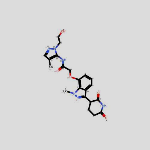 Cn1nc(C2CCC(=O)NC2=O)c2cccc(OCC(=O)Nc3c(C#N)cnn3CCO)c21